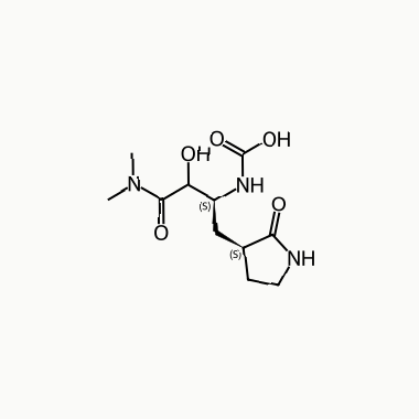 CN(C)C(=O)C(O)[C@H](C[C@@H]1CCNC1=O)NC(=O)O